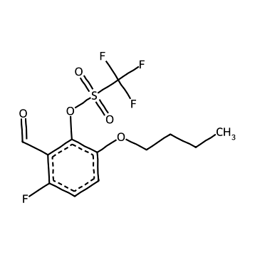 CCCCOc1ccc(F)c(C=O)c1OS(=O)(=O)C(F)(F)F